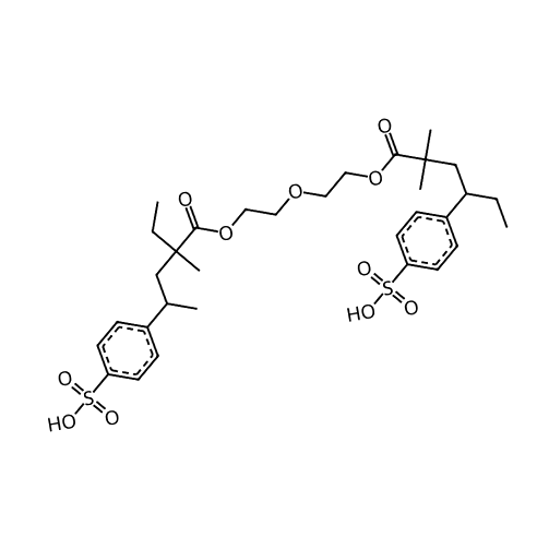 CCC(CC(C)(C)C(=O)OCCOCCOC(=O)C(C)(CC)CC(C)c1ccc(S(=O)(=O)O)cc1)c1ccc(S(=O)(=O)O)cc1